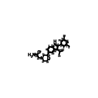 Cc1cc(-c2[nH]c3ccc(C4CN(CC(N)=O)CCO4)cc3c2C(C)C)cc(C)n1